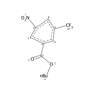 CCCCOC(=O)c1cc([N+](=O)[O-])cc(C(F)(F)F)c1